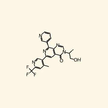 Cc1cc(C(F)(F)F)ncc1-c1cc2c(=O)n(C(C)CO)cnc2c(-c2cccnc2)n1